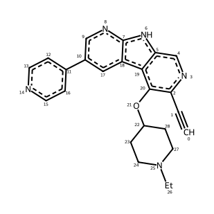 C#Cc1ncc2[nH]c3ncc(-c4ccncc4)cc3c2c1OC1CCN(CC)CC1